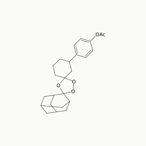 CC(=O)Oc1ccc(C2CCCC3(C2)OOC2(O3)C3CC4CC(C3)CC2C4)cc1